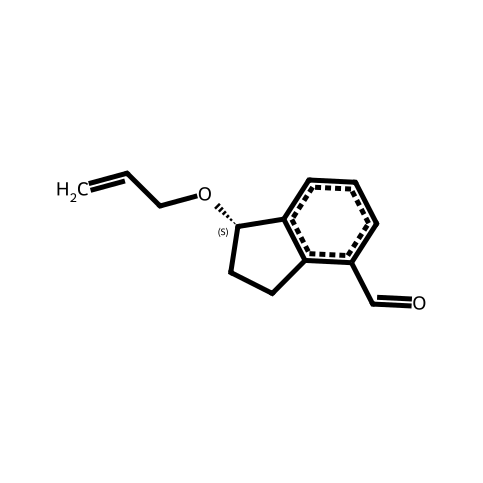 C=CCO[C@H]1CCc2c(C=O)cccc21